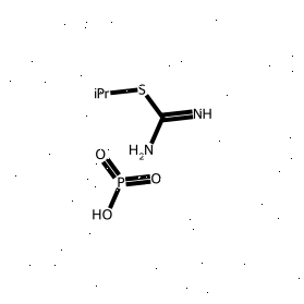 CC(C)SC(=N)N.O=P(=O)O